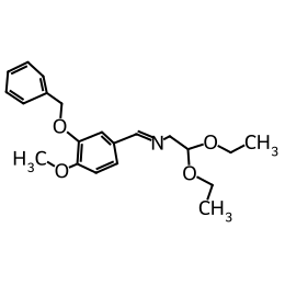 CCOC(C/N=C/c1ccc(OC)c(OCc2ccccc2)c1)OCC